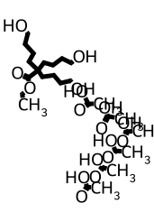 CC(=O)O.CC(=O)O.CC(=O)O.CC(=O)O.CC(=O)O.CC(=O)O.CCOC(=O)C(CCCCO)(CCCCO)CCCCO